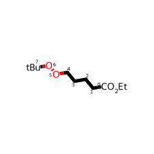 CCOC(=O)CCCCOOC(C)(C)C